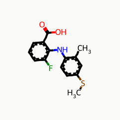 CSc1ccc(Nc2c(F)cccc2C(=O)O)c(C)c1